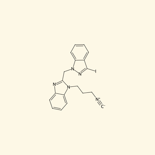 [C-]#[N+]CCCn1c(Cn2nc(I)c3ccccc32)nc2ccccc21